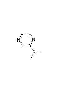 CB(C)c1cnccn1